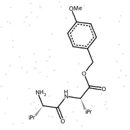 COc1ccc(COC(=O)[C@@H](NC(=O)[C@@H](N)C(C)C)C(C)C)cc1